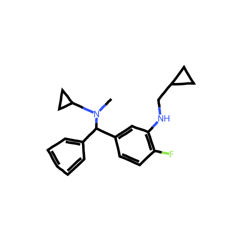 CN(C1CC1)C(c1ccccc1)c1ccc(F)c(NCC2CC2)c1